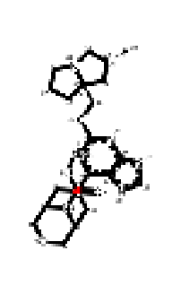 CC(C)(C)OC(=O)N1C2COCC1CN(c1nc(OC[C@@]34CCCN3C[C@H](F)C4)nc3scnc13)C2